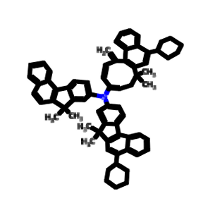 C=C1/C=C\C(N(c2ccc3c(c2)C(C)(C)c2ccc4ccccc4c2-3)c2ccc3c(c2)C(C)(C)c2cc(C4CCCCC4)c4ccccc4c2-3)=C/CC(C)(C)c2cc(C3CCCCC3)c3ccccc3c21